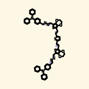 C(=C\c1sc(/C=N/N=C/c2ccc(N(c3ccccc3)c3ccccc3)cc2)c2c1OCCO2)/c1ccc(/C=C/c2sc(/C=N/N=C/c3ccc(N(c4ccccc4)c4ccccc4)cc3)c3c2OCCO3)s1